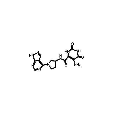 Nc1c(C(=O)NC2CCN(c3ncnc4[nH]ncc34)C2)[nH]c(=O)[nH]c1=O